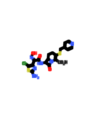 Nc1nc(/C(=N/O)C(=O)NC2C(=O)N3C(C(=O)O)=C(SCc4ccncc4)CCC23)c(Cl)s1